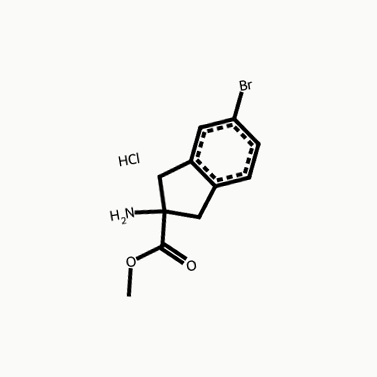 COC(=O)C1(N)Cc2ccc(Br)cc2C1.Cl